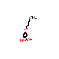 CCCCCCCOc1ccc(B(O)O)cc1